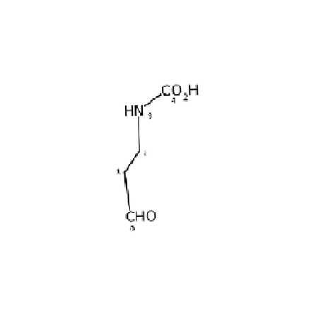 O=CCCNC(=O)O